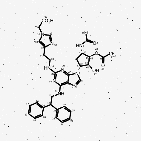 CCC(=O)N[C@H]1C[C@@H](n2cnc3c(NCC(c4ccccc4)c4ccccc4)nc(NCCc4cn(CC(=O)O)cn4)nc32)[C@H](O)[C@@H]1OC(=O)C(F)(F)F